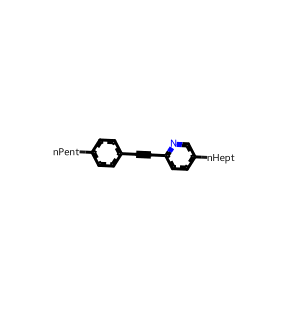 CCCCCCCc1ccc(C#Cc2ccc(CCCCC)cc2)nc1